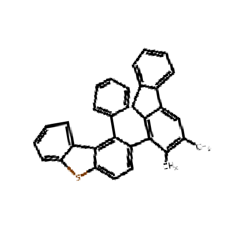 Cc1cc2c(c(-c3ccc4sc5ccccc5c4c3-c3ccccc3)c1C)Cc1ccccc1-2